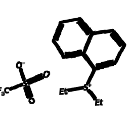 CC[S+](CC)c1cccc2ccccc12.O=S(=O)([O-])C(F)(F)F